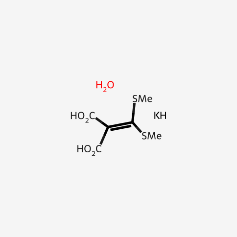 CSC(SC)=C(C(=O)O)C(=O)O.O.[KH]